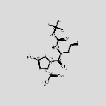 C=CCC(NC(=O)OC(C)(C)C)C(=O)N1C[C@H](O)C[C@H]1C(=O)O